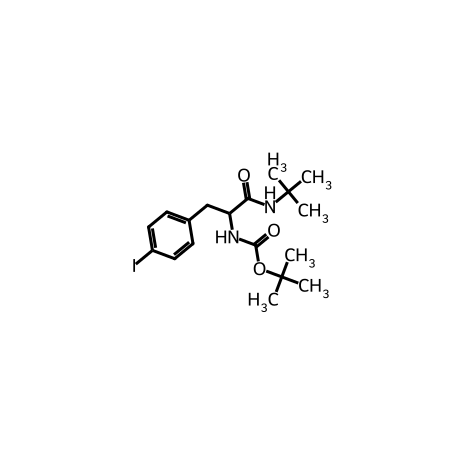 CC(C)(C)NC(=O)C(Cc1ccc(I)cc1)NC(=O)OC(C)(C)C